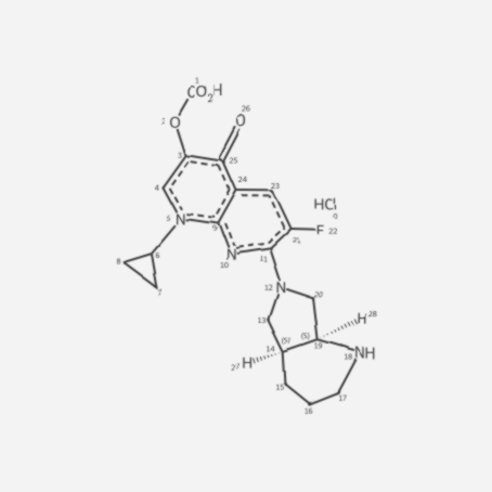 Cl.O=C(O)Oc1cn(C2CC2)c2nc(N3C[C@@H]4CCCN[C@@H]4C3)c(F)cc2c1=O